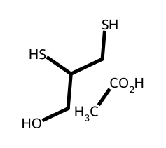 CC(=O)O.OCC(S)CS